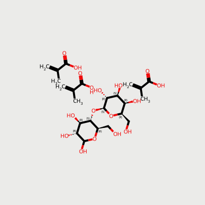 C=C(C)C(=O)O.C=C(C)C(=O)O.C=C(C)C(=O)O.OC[C@H]1O[C@@H](O[C@H]2[C@H](O)[C@@H](O)C(O)O[C@@H]2CO)[C@H](O)[C@@H](O)[C@H]1O